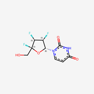 O=c1ccn([C@@H]2O[C@](F)(CO)[C@@H](F)[C@H]2F)c(=O)[nH]1